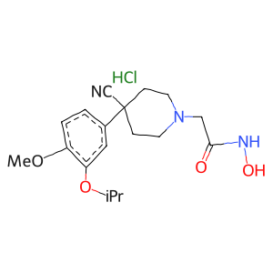 COc1ccc(C2(C#N)CCN(CC(=O)NO)CC2)cc1OC(C)C.Cl